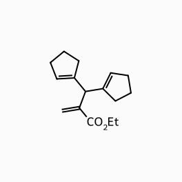 C=C(C(=O)OCC)C(C1=CCCC1)C1=CCCC1